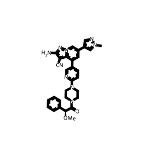 CO[C@H](C(=O)N1CCN(c2ccc(-c3cc(-c4cnn(C)c4)cn4nc(N)c(C#N)c34)cn2)CC1)c1ccccc1